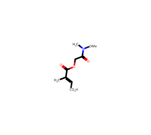 CON(C)C(=O)COC(=O)C(C)=CC(=O)O